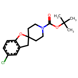 CC(C)(C)OC(=O)N1CCC2(CC1)Cc1cc(Cl)ccc1O2